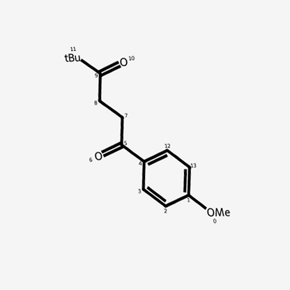 COc1ccc(C(=O)CCC(=O)C(C)(C)C)cc1